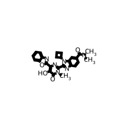 CN(C)C(=O)c1ccc2nc(-c3nc(-c4nc5ccccc5o4)c(O)c(=O)n3C)n(C3CCC3)c2c1